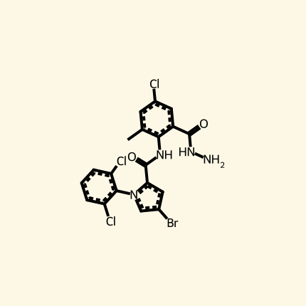 Cc1cc(Cl)cc(C(=O)NN)c1NC(=O)c1cc(Br)cn1-c1c(Cl)cccc1Cl